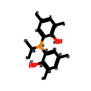 Cc1cc(C)c(O)c(P(c2cc(C)cc(C)c2O)C(C)C)c1